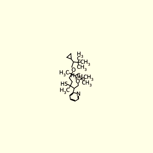 CC(C)(C)OCC(c1ccccn1)C(C)(S)CCC(C)(C)OCC(C1CC1)C(C)(C)C